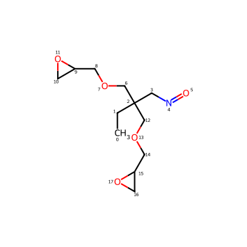 CCC(CN=O)(COCC1CO1)COCC1CO1